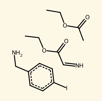 CCOC(=O)C=N.CCOC(C)=O.NCc1ccc(I)cc1